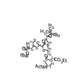 CCOC(=O)Cc1ccc(NC(C)=O)cc1OCc1cc(-c2cccc(CNC(=O)OC(C)(C)C)c2)c2oc(CO[Si](C)(C)C(C)(C)C)cc2c1